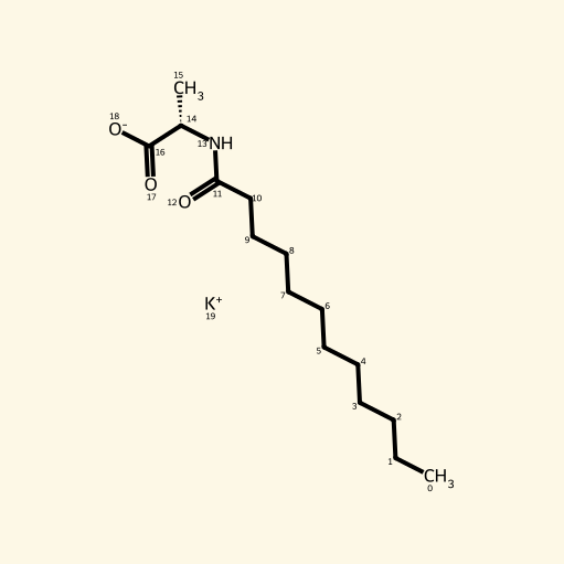 CCCCCCCCCCCC(=O)N[C@@H](C)C(=O)[O-].[K+]